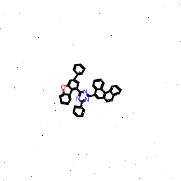 c1ccc(-c2cc(-c3nc(-c4ccccc4)nc(-c4cc5ccc6ccccc6c5c5ccccc45)n3)c3c(c2)oc2ccccc23)cc1